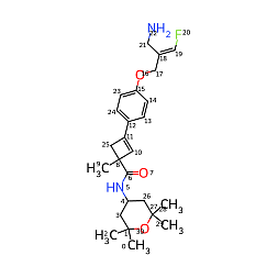 CC1(C)CC(NC(=O)C2(C)C=C(c3ccc(OC/C(=C/F)CN)cc3)C2)CC(C)(C)O1